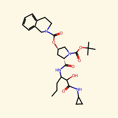 CCCC(NC(=O)[C@@H]1C[C@@H](OC(=O)N2CCc3ccccc3C2)CN1C(=O)OC(C)(C)C)C(O)C(=O)NC1CC1